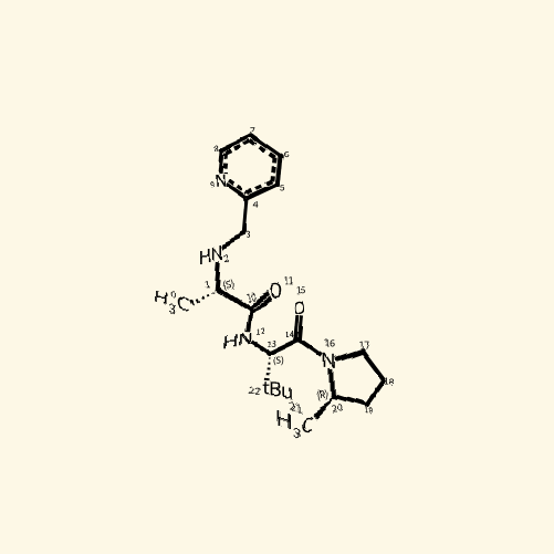 C[C@H](NCc1ccccn1)C(=O)N[C@H](C(=O)N1CCC[C@H]1C)C(C)(C)C